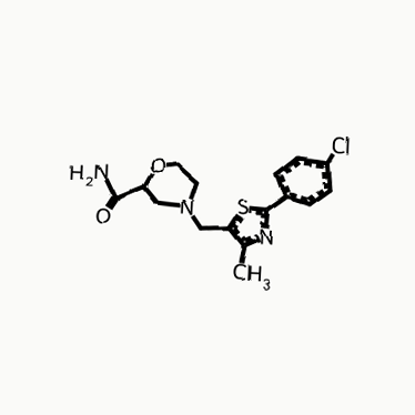 Cc1nc(-c2ccc(Cl)cc2)sc1CN1CCOC(C(N)=O)C1